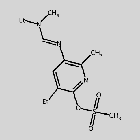 CCc1cc(/N=C/N(C)CC)c(C)nc1OS(C)(=O)=O